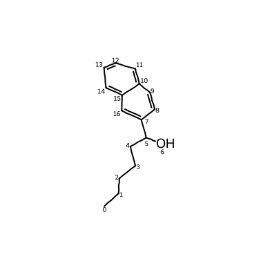 CCCCCC(O)c1ccc2ccccc2c1